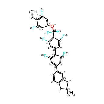 C=Cc1c(F)cc(OC(F)(F)c2c(F)cc(-c3c(F)cc(-c4ccc5c(c4)CC(C)C5)cc3F)cc2F)cc1F